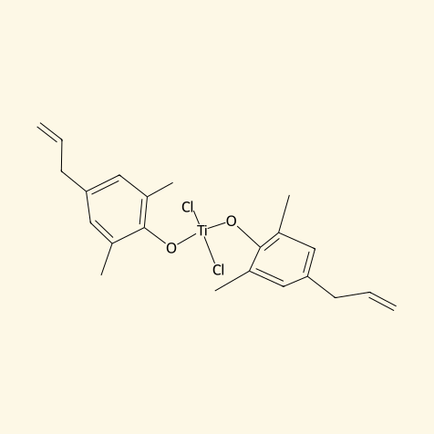 C=CCc1cc(C)c([O][Ti]([Cl])([Cl])[O]c2c(C)cc(CC=C)cc2C)c(C)c1